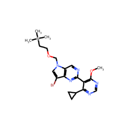 COc1ncnc(C2CC2)c1-c1ncc2c(n1)c(Br)cn2COCC[Si](C)(C)C